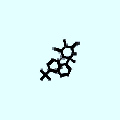 CN1C(=N)N[C@](C)(c2ccccc2)[C@H](c2ccc(C(C)(C)C)cc2)C1=O